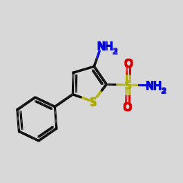 Nc1cc(-c2ccccc2)sc1S(N)(=O)=O